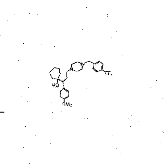 COc1ccc(C(CCN2CCN(Cc3ccc(C(F)(F)F)cc3)CC2)C2(O)CCCCC2)cc1